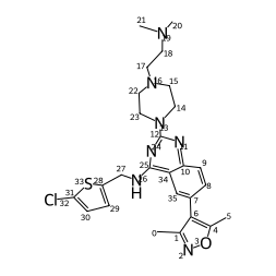 Cc1noc(C)c1-c1ccc2nc(N3CCN(CCN(C)C)CC3)nc(NCc3ccc(Cl)s3)c2c1